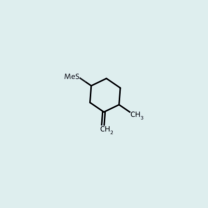 C=C1CC(SC)CCC1C